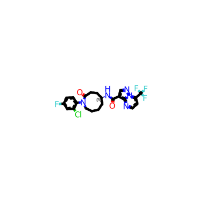 O=C(N[C@@H]1CCCCN(c2ccc(F)cc2Cl)C(=O)CC1)c1cnn2c(C(F)(F)F)ccnc12